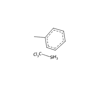 Cc1ccccc1.[SiH3]C(Cl)(Cl)Cl